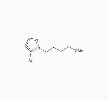 COCCCCn1cccc1C(C)=O